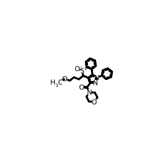 COCCCC1c2c(C(=O)N3CCOCC3)nn(-c3ccccc3)c2-c2ccccc2[S+]1[O-]